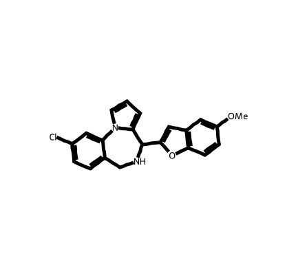 COc1ccc2oc(C3NCc4ccc(Cl)cc4-n4cccc43)cc2c1